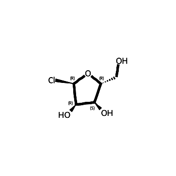 OC[C@H]1O[C@H](Cl)[C@H](O)[C@@H]1O